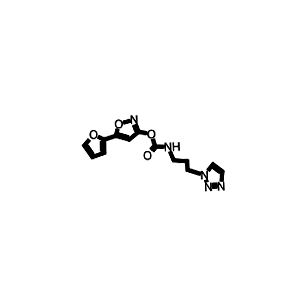 O=C(NCCCn1ccnn1)Oc1cc(-c2ccco2)on1